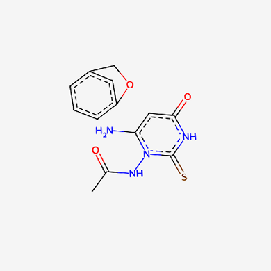 CC(=O)Nn1c(N)cc(=O)[nH]c1=S.c1cc2cc(c1)OC2